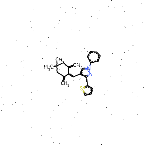 C=C1CC(C)(C)CC(=C)C1=Cc1cn(-c2ccccc2)nc1-c1cccs1